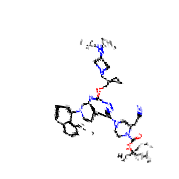 Cc1cccc2cccc(N3CCc4c(nc(OCC5(CN6CC(N(C)C)C6)CC5)nc4N4CCN(C(=O)OC(C)(C)C)C(CC#N)C4)C3)c12